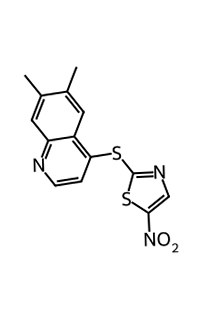 Cc1cc2nccc(Sc3ncc([N+](=O)[O-])s3)c2cc1C